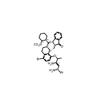 CC(Oc1ccc(Br)c2c1[C@@H](CN1Cc3ccccc3C1=O)N(C(=O)[C@@H]1CCCC[C@@H]1C(=O)O)CC2)/C(N)=C/N(N)C(C)C